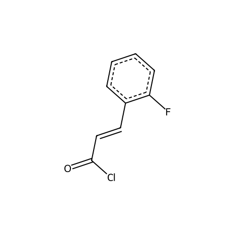 O=C(Cl)C=Cc1ccccc1F